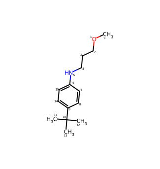 COCCCNc1ccc(C(C)(C)C)cc1